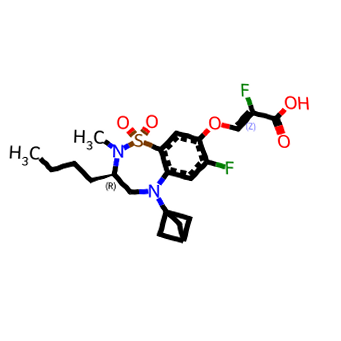 CCCC[C@@H]1CN(C23CC(C2)C3)c2cc(F)c(O/C=C(\F)C(=O)O)cc2S(=O)(=O)N1C